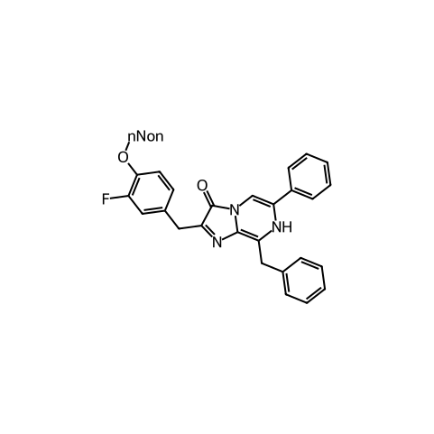 CCCCCCCCCOc1ccc(Cc2nc3c(Cc4ccccc4)[nH]c(-c4ccccc4)cn-3c2=O)cc1F